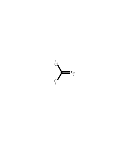 ClC(Cl)=[Se]